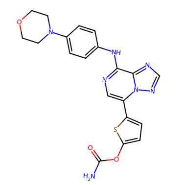 NC(=O)Oc1ccc(-c2cnc(Nc3ccc(N4CCOCC4)cc3)c3ncnn23)s1